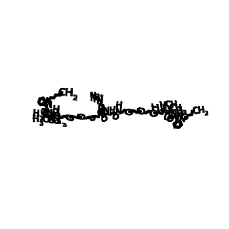 C=CCCCn1nc(C(=O)N[C@H](C(=O)NCCOCCOCCOCCNC(=O)CC[C@H](NC(=O)CCN=[N+]=[N-])C(=O)NCCOCCOCCOCCNC(=O)[C@@H](NC(=O)c2nn(CCCC=C)c3ccccc23)C(C)(C)C)C(C)(C)C)c2ccccc21